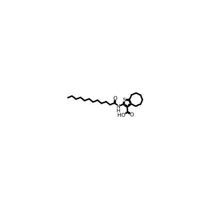 CCCCCCCCCCCC(=O)Nc1sc2c(c1C(=O)O)CCCCCC2